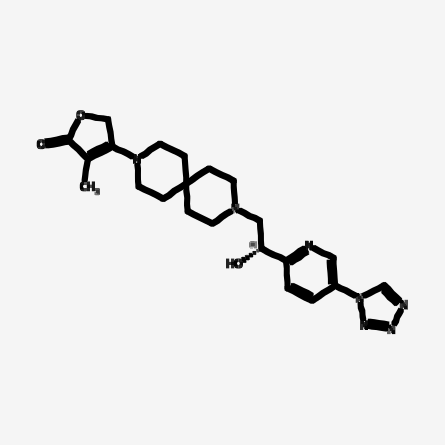 CC1=C(N2CCC3(CCN(C[C@@H](O)c4ccc(-n5cnnn5)cn4)CC3)CC2)COC1=O